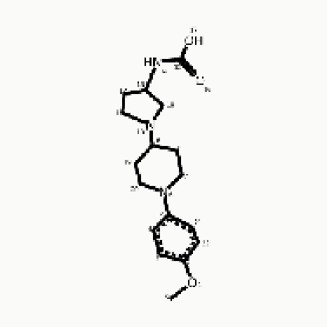 COc1ccc(N2CCC(N3CCC(NC(=O)O)C3)CC2)cc1